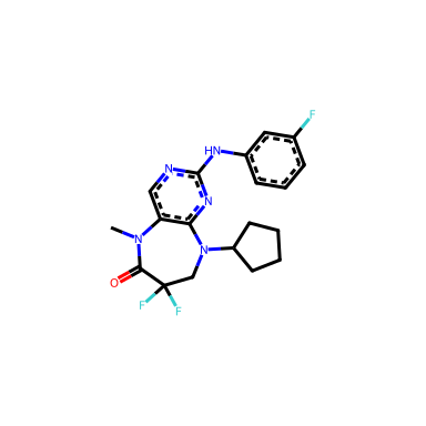 CN1C(=O)C(F)(F)CN(C2CCCC2)c2nc(Nc3cccc(F)c3)ncc21